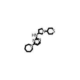 c1cc(N2CCCCCC2)nc(NC2CCN(C3CCSCC3)C2)n1